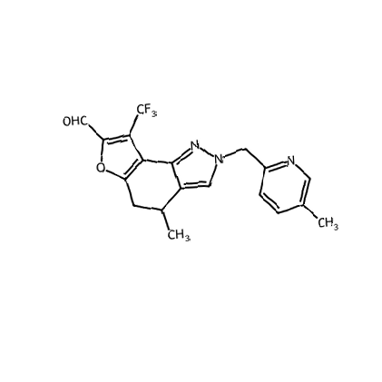 Cc1ccc(Cn2cc3c(n2)-c2c(oc(C=O)c2C(F)(F)F)CC3C)nc1